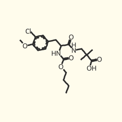 CCCCOC(=O)NC(Cc1ccc(OC)c(Cl)c1)C(=O)NCC(C)(C)C(=O)O